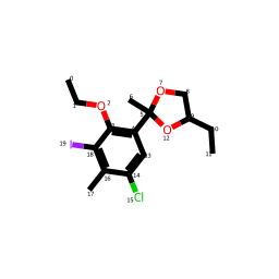 CCOc1c(C2(C)OCC(CC)O2)cc(Cl)c(C)c1I